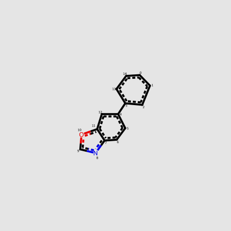 c1ccc(-c2ccc3ncoc3c2)cc1